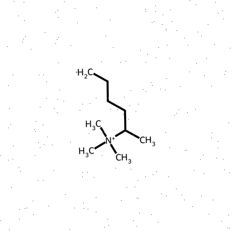 [CH2]CCCC(C)[N+](C)(C)C